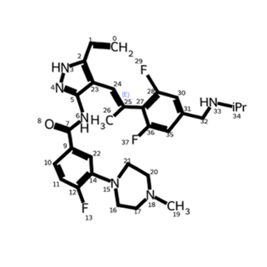 C=Cc1[nH]nc(NC(=O)c2ccc(F)c(N3CCN(C)CC3)c2)c1/C=C(\C)c1c(F)cc(CNC(C)C)cc1F